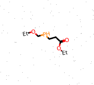 CCOCPCCC(=O)OCC